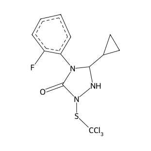 O=C1N(SC(Cl)(Cl)Cl)NC(C2CC2)N1c1ccccc1F